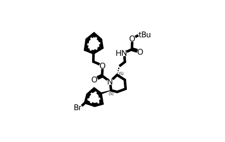 CC(C)(C)OC(=O)NCC[C@@H]1CCC[C@@H](c2ccc(Br)cc2)N1C(=O)OCc1ccccc1